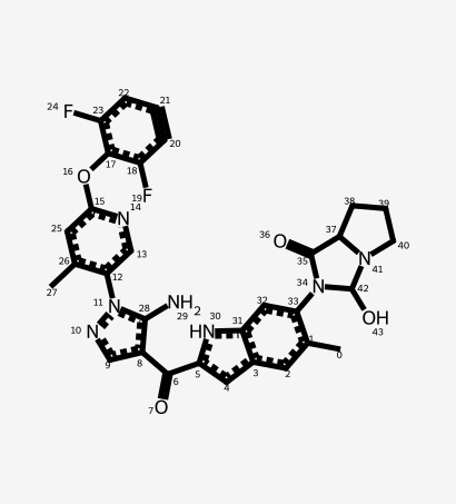 Cc1cc2cc(C(=O)c3cnn(-c4cnc(Oc5c(F)c#ccc5F)cc4C)c3N)[nH]c2cc1N1C(=O)C2CCCN2C1O